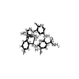 Cc1ncc(Nc2nc(N[C@H](c3cccc(F)c3)[C@H](C)NC(=O)O)c(F)cc2C(N)=O)cc1-n1nccn1